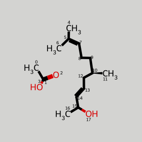 CC(=O)O.CC(C)=CCC[C@@H](C)CC=CC(C)O